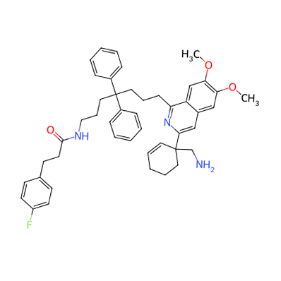 COc1cc2cc(C3(CN)C=CCCC3)nc(CCCC(CCCNC(=O)CCc3ccc(F)cc3)(c3ccccc3)c3ccccc3)c2cc1OC